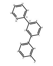 Cc1cccc(-c2cccc(-c3ccccn3)c2)c1